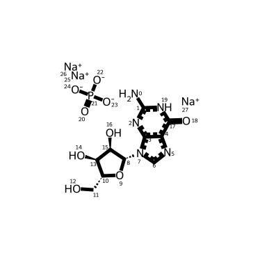 Nc1nc2c(ncn2[C@@H]2O[C@H](CO)[C@@H](O)[C@H]2O)c(=O)[nH]1.O=P([O-])([O-])[O-].[Na+].[Na+].[Na+]